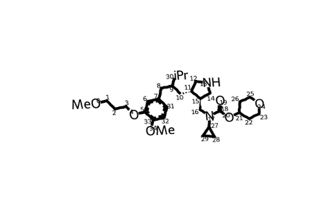 COCCCOc1cc(CC(C[C@@H]2CNC[C@H]2CN(C(=O)OC2CCOCC2)C2CC2)C(C)C)ccc1OC